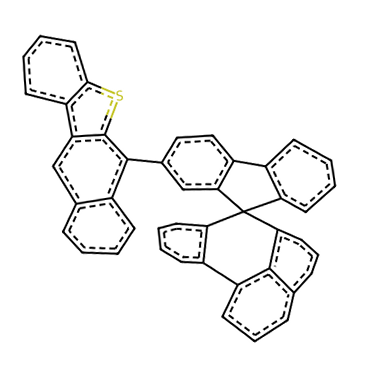 c1ccc2c(c1)-c1ccc(-c3c4ccccc4cc4c3sc3ccccc34)cc1C21c2ccccc2-c2cccc3cccc1c23